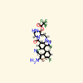 N#Cc1c(N)sc2c(F)ccc(-c3c(F)cc4c5c3c(F)nn5CCC3C(OC(=O)C(F)(F)F)NCCN3C4=O)c12